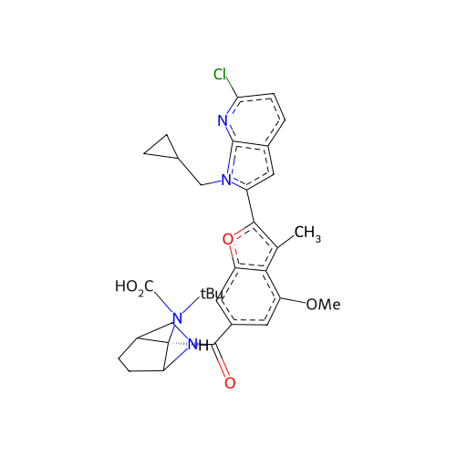 COc1cc(C(=O)N2CC3CCC2[C@@H]3N(C(=O)O)C(C)(C)C)cc2oc(-c3cc4ccc(Cl)nc4n3CC3CC3)c(C)c12